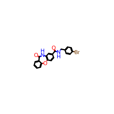 O=C(NCc1ccc(Br)cc1)c1ccc2c(c1)NC(=O)c1ccccc1O2